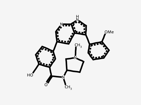 COc1ccccc1-c1c[nH]c2ncc(-c3ccc(O)c(C(=O)N(C)C4CCN(C)C4)c3)cc12